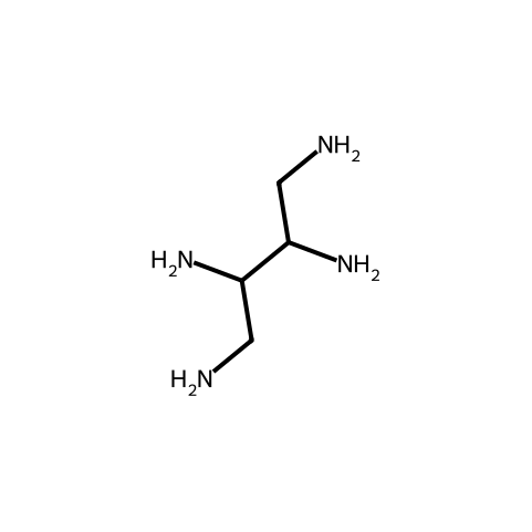 NCC(N)C(N)CN